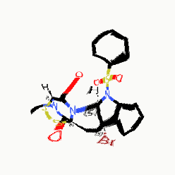 CN1C(=O)[C@]23C[C@]4(Br)c5ccccc5N(S(=O)(=O)c5ccccc5)[C@@H]4N2C(=O)[C@H]1SS3